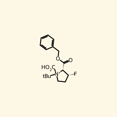 CC(C)(C)[N+]1(C(=O)O)CC[C@@H](F)[C@H]1C(=O)OCc1ccccc1